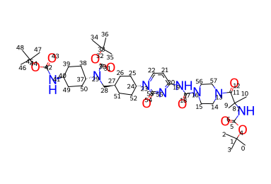 CC(C)(C)OC(=O)NC(C)(C)C(=O)N1CCN(C(=O)Nc2ccn([C@H]3CC[C@H](CN(C(=O)OC(C)(C)C)[C@H]4CC[C@H](NC(=O)OC(C)(C)C)CC4)CC3)c(=O)n2)CC1